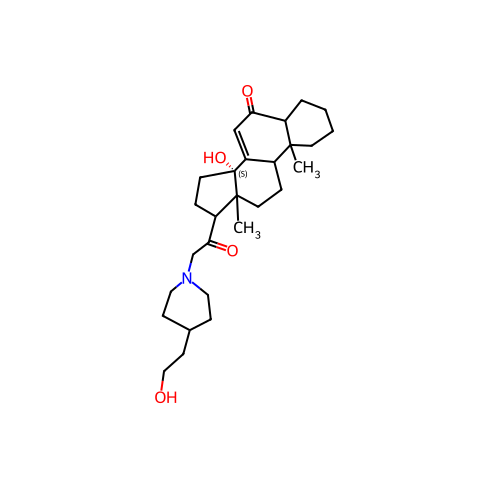 CC12CCCCC1C(=O)C=C1C2CCC2(C)C(C(=O)CN3CCC(CCO)CC3)CC[C@@]12O